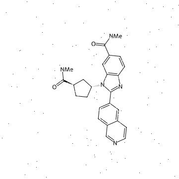 CNC(=O)c1ccc2nc(-c3ccc4cnccc4c3)n([C@@H]3CC[C@@H](C(=O)NC)C3)c2c1